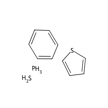 P.S.c1ccccc1.c1ccsc1